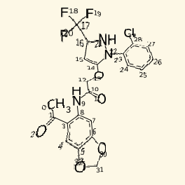 CC(=O)c1cc2c(cc1NC(=O)COC1=CC(C(F)(F)F)NN1c1ccccc1Cl)OCO2